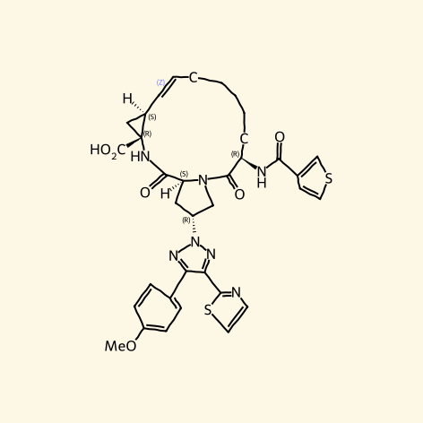 COc1ccc(-c2nn([C@@H]3C[C@H]4C(=O)N[C@]5(C(=O)O)C[C@H]5/C=C\CCCCC[C@@H](NC(=O)c5ccsc5)C(=O)N4C3)nc2-c2nccs2)cc1